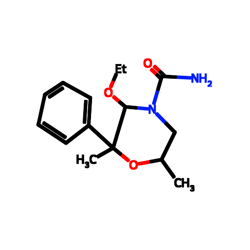 CCOC1N(C(N)=O)CC(C)OC1(C)c1ccccc1